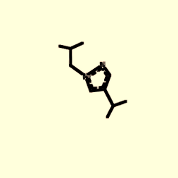 CC(C)Cn1cc(C(C)C)cn1